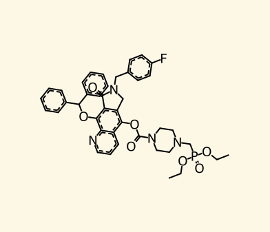 CCOP(=O)(CN1CCN(C(=O)Oc2c3c(c(OC(c4ccccc4)c4ccccc4)c4ncccc24)C(=O)N(Cc2ccc(F)cc2)C3)CC1)OCC